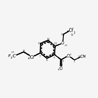 N#CCOC(=O)c1cc(OCC(F)(F)F)ccc1OCC(F)(F)F